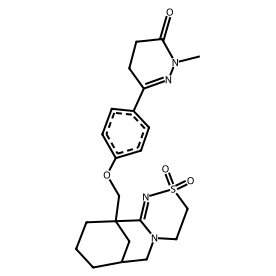 CN1N=C(c2ccc(OCC34CCCC(CN5CCS(=O)(=O)N=C53)C4)cc2)CCC1=O